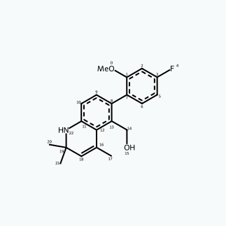 COc1cc(F)ccc1-c1ccc2c(c1CO)C(C)=CC(C)(C)N2